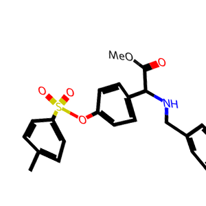 COC(=O)C(NCc1ccccc1)c1ccc(OS(=O)(=O)c2ccc(C)cc2)cc1